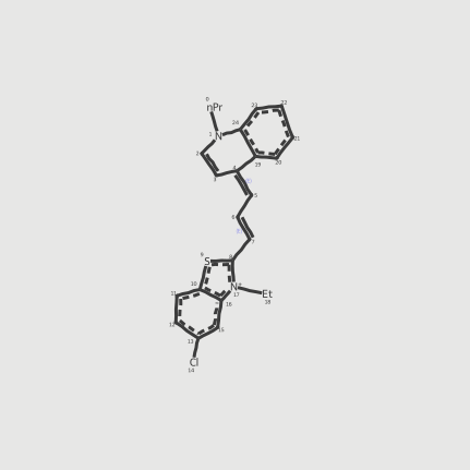 CCCN1C=C/C(=C\C=C\c2sc3ccc(Cl)cc3[n+]2CC)c2ccccc21